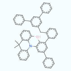 CC1(C)c2ccccc2N2c3cc(-c4ccccc4)cc(-c4ccccc4Cc4cc(-c5ccccc5)cc(-c5ccccc5)c4)c3Bc3cccc1c32